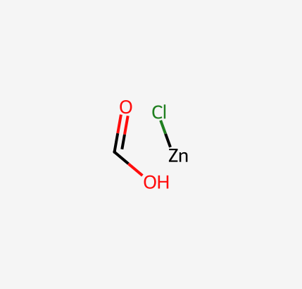 O=CO.[Cl][Zn]